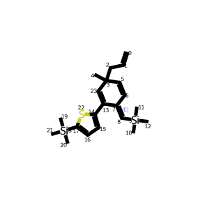 C=CCC1(C)C=C/C(=C\[Si](C)(C)C)C(c2ccc([Si](C)(C)C)s2)=C1